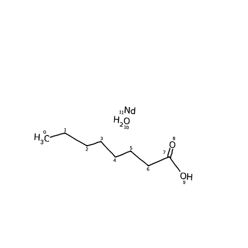 CCCCCCCC(=O)O.O.[Nd]